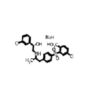 C[C@H](Cc1ccc(S(=O)(=O)c2cc(Cl)ccc2C(=O)O)cc1)NC[C@@H](O)c1cccc(Cl)c1.[NaH]